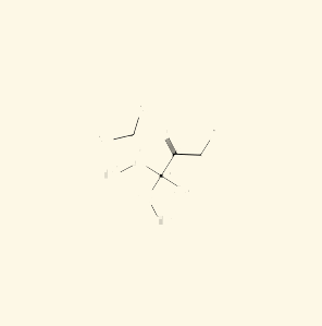 CC(=O)CC(=O)C([SeH])(OC(C)C)OC(C)C.CC(=O)CC(C)=O